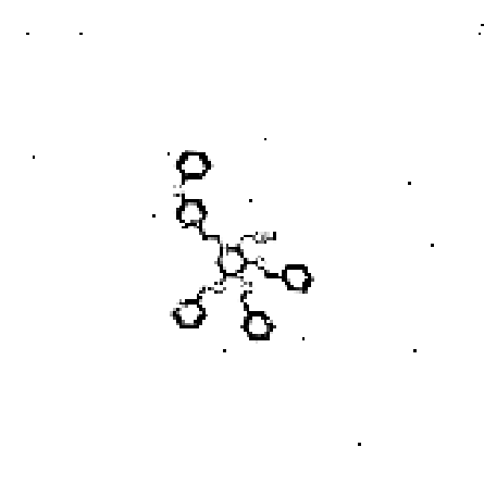 OC[C@@H]1[C@@H](OCc2ccccc2)[C@H](OCc2ccccc2)[C@@H](OCc2ccccc2)CN1CCc1ccc(Oc2ccccc2)cc1